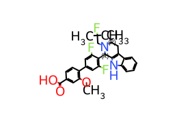 COc1cc(C(=O)O)ccc1-c1cc(F)c([C@@H]2c3[nH]c4ccccc4c3C[C@@H](C)N2CC(C)(C)F)c(F)c1